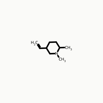 C=CC1CCC(C)N(C)C1